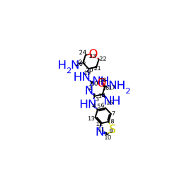 N=C(/N=C(/Nc1ccc2scnc2c1)C(=N)C(N)=O)N[C@@H]1CCOC[C@@H]1N